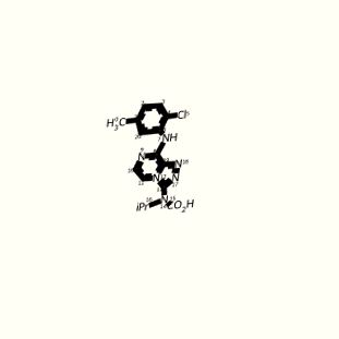 Cc1ccc(Cl)c(Nc2nccn3c(N(C(=O)O)C(C)C)nnc23)c1